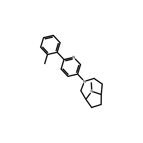 Cc1ccccc1-c1ccc(N2CCC3CCC(C2)N3C)cn1